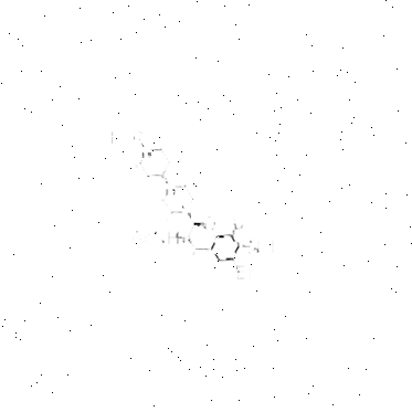 CCc1cc(C[C@@H](NC(C)=O)C(=O)N2CCN(C3CCN(C)CC3)CC2)cc(Cl)c1N